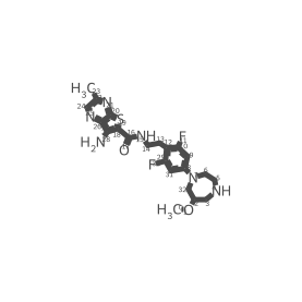 COC1CNCCN(c2cc(F)c(CCNC(=O)c3sc4nc(C)cnc4c3N)c(F)c2)C1